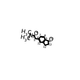 CN(C)C(=O)Cc1ccc2c(c1)CCC2=O